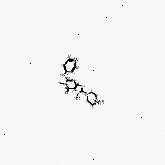 CCn1c(N2CCNCC2)nc2nc(Sc3ccncc3)n(C)c(=O)c21